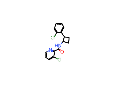 O=C(NC1CCC1c1ccccc1Cl)c1ncccc1Cl